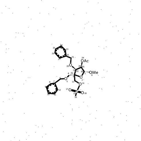 CO[C@@H]1O[C@@](COCc2ccccc2)(COS(C)(=O)=O)[C@@H](OCc2ccccc2)[C@H]1OC(C)=O